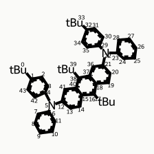 CC(C)(C)c1ccc(N(c2ccccc2)c2ccc3c(C(C)(C)C)c4ccc(N(c5ccccc5)c5ccc(C(C)(C)C)cc5)cc4c(C(C)(C)C)c3c2)cc1